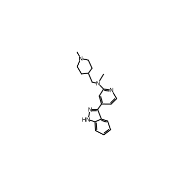 CN1CCC(CN(C)c2cc(-c3n[nH]c4ccccc34)ccn2)CC1